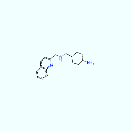 NC1CCC(CNCc2ccc3ccccc3n2)CC1